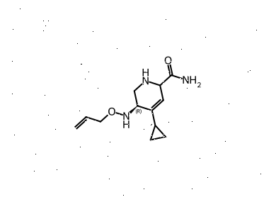 C=CCON[C@H]1CNC(C(N)=O)C=C1C1CC1